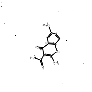 COc1ccc2oc(N)c(C(N)=O)c(=O)c2c1